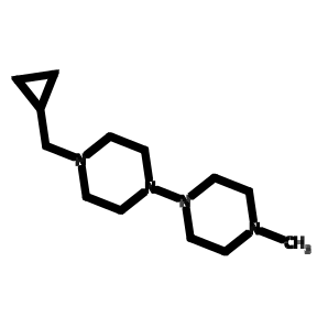 CN1CCN(N2CCN(CC3CC3)CC2)CC1